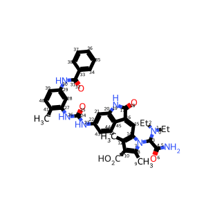 CCN(CC)C(C(N)=O)n1c(C)c(C(=O)O)c(C)c1C=C1C(=O)Nc2cc(NC(=O)Nc3cc(NC(=O)c4ccccc4)ccc3C)ccc21